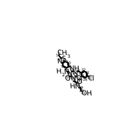 CCc1nc2ccc(NC3N(N)C(=O)N(CC(=O)NCCO)C(=O)N3Cc3ccc(Cl)cc3)cc2s1